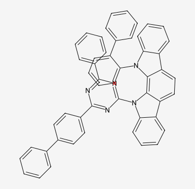 c1ccc(-c2ccc(-c3nc(-c4ccccc4)nc(-n4c5ccccc5c5ccc6c7ccccc7n(-c7ccccc7-c7ccccc7)c6c54)n3)cc2)cc1